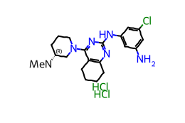 CN[C@@H]1CCCN(c2nc(Nc3cc(N)cc(Cl)c3)nc3c2CCCC3)C1.Cl.Cl